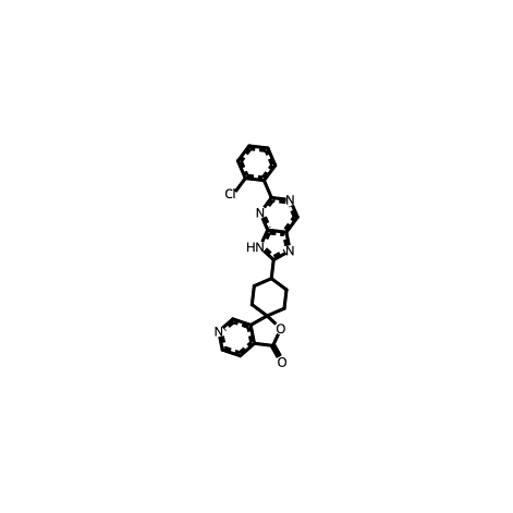 O=C1OC2(CCC(c3nc4cnc(-c5ccccc5Cl)nc4[nH]3)CC2)c2cnccc21